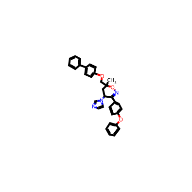 CC1(COc2ccc(-c3ccccc3)cc2)CC(n2ccnc2)C(c2ccc(Oc3ccccc3)cc2)=NO1